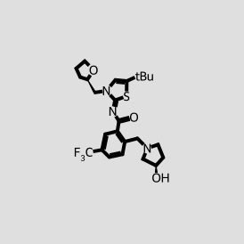 CC(C)(C)c1cn(C[C@H]2CCCO2)c(=NC(=O)c2cc(C(F)(F)F)ccc2CN2CC[C@@H](O)C2)s1